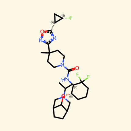 CC(C)N1CC2CCC(C1)C2O[C@H]1CCCC(F)(F)[C@@H]1NC(=O)N1CCC(C)(c2noc([C@@H]3C[C@@H]3F)n2)CC1